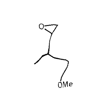 COCC(C)C1CO1